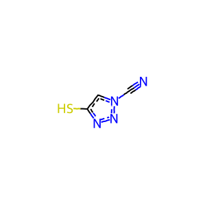 N#Cn1cc(S)nn1